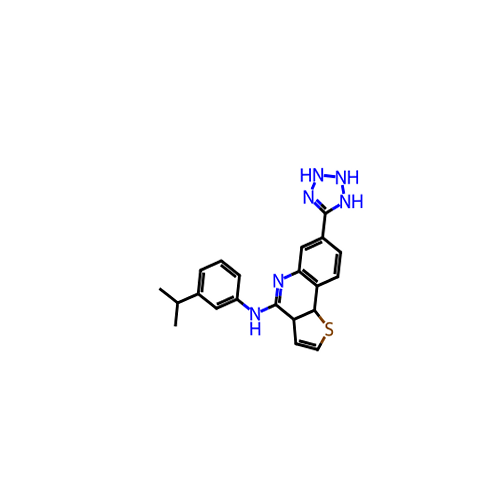 CC(C)c1cccc(NC2=Nc3cc(C4=NNNN4)ccc3C3SC=CC23)c1